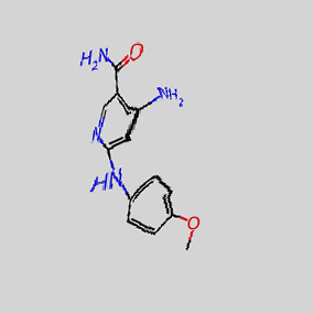 COc1ccc(Nc2cc(N)c(C(N)=O)cn2)cc1